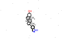 C[C@]12CC[C@@H](O)CC1=CC[C@@H]1[C@@H]2CC[C@]2(C)C(c3ccc4[nH]ncc4c3)=CC[C@@H]12